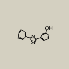 Oc1cccc(-c2csc(-c3ccccc3)n2)c1